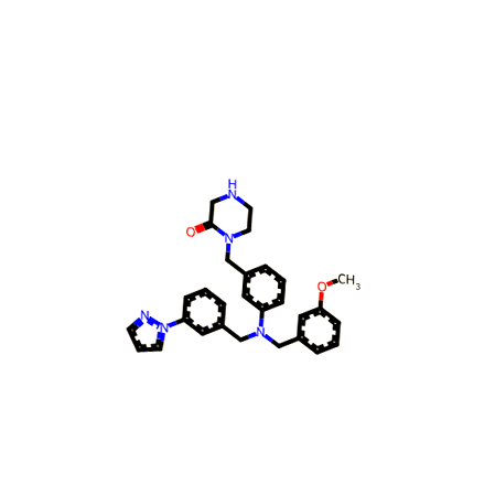 COc1cccc(CN(Cc2cccc(-n3cccn3)c2)c2cccc(CN3CCNCC3=O)c2)c1